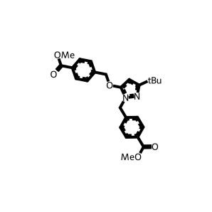 COC(=O)c1ccc(COc2cc(C(C)(C)C)nn2Cc2ccc(C(=O)OC)cc2)cc1